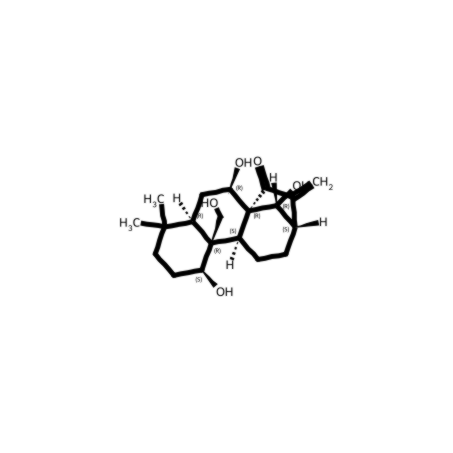 C=C1C(=O)[C@@]23[C@H](O)C[C@@H]4C(C)(C)CC[C@H](O)[C@@]4(CO)[C@@H]2CC[C@@H]1[C@H]3O